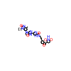 CCn1c(=O)n(C)c2c(C)cc(N3CCOc4nc(-c5ccc(C(=O)NCC#Cc6ccc7occ(C8CCC(=O)NC8=O)c7c6)nc5)ncc43)cc21